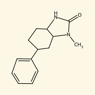 CN1C(=O)NC2CCC(c3ccccc3)CC21